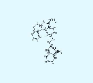 C=C(CN1CCc2ccccc2C1)c1ccc(CCC(=O)Nc2ccccc2N)cc1